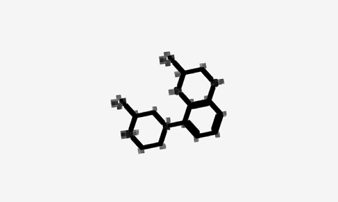 NC1CN(c2cccc3c2OC(N)CO3)CCN1